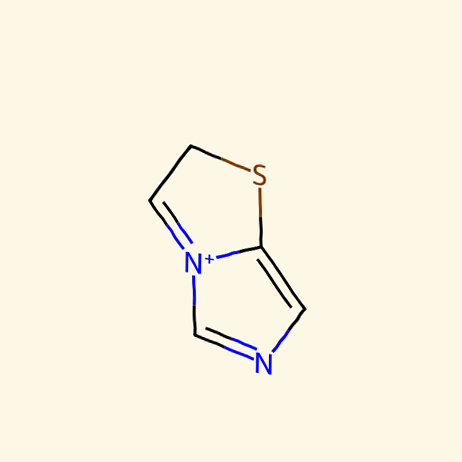 C1=NC=C2SCC=[N+]12